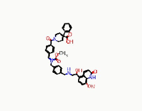 COC(=O)N(Cc1ccc(CNCC(O)c2ccc(O)c3[nH]c(=O)ccc23)cc1)Cc1ccc(C(=O)N2CCC(C(=O)O)(c3ccccc3)CC2)cc1